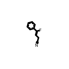 N#CCC=C(F)c1ccccc1